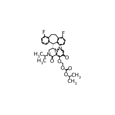 CC(C)OC(=O)OCOc1c2n(ncc1=O)[C@@H](C1c3cccc(F)c3CCc3c(F)cccc31)CN(C(C)C)C2=O